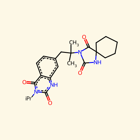 CC(C)n1c(=O)[nH]c2cc(CC(C)(C)N3C(=O)NC4(CCCCC4)C3=O)ccc2c1=O